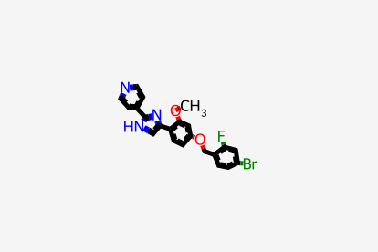 COc1cc(OCc2ccc(Br)cc2F)ccc1-c1c[nH]c(-c2ccncc2)n1